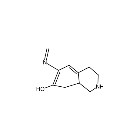 C=NC1=C(O)CC2CNCCC2=C1